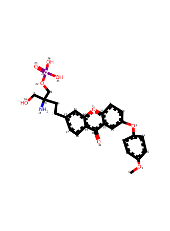 COc1ccc(Oc2ccc3oc4cc(CCC(N)(CO)COP(=O)(O)O)ccc4c(=O)c3c2)cc1